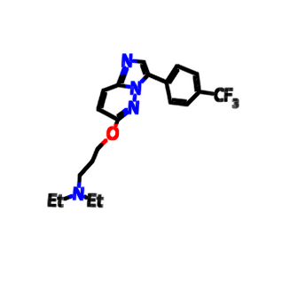 CCN(CC)CCCOc1ccc2ncc(-c3ccc(C(F)(F)F)cc3)n2n1